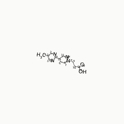 Cc1cnc(-c2cc[n+](CCC(=O)O)nc2)nc1